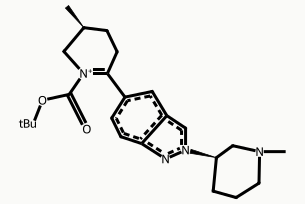 C[C@H]1CCC(c2ccc3nn([C@@H]4CCCN(C)C4)cc3c2)=[N+](C(=O)OC(C)(C)C)C1